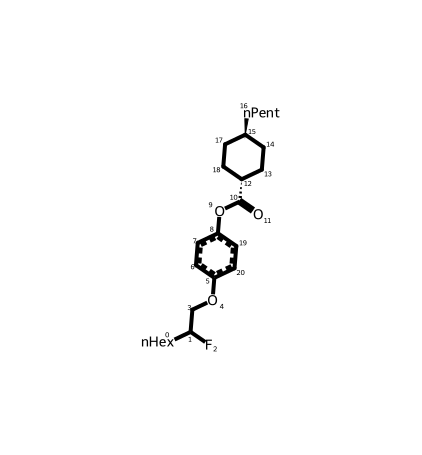 CCCCCCC(F)COc1ccc(OC(=O)[C@H]2CC[C@H](CCCCC)CC2)cc1